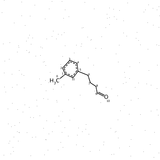 Cc1cccc(CCC[C]=O)c1